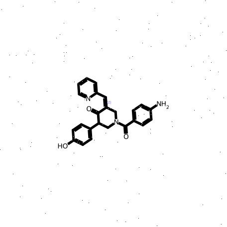 Nc1ccc(C(=O)N2C/C(=C/c3ccccn3)C(=O)C(c3ccc(O)cc3)C2)cc1